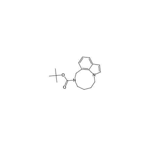 CC(C)(C)OC(=O)N1CCCCn2ccc3cccc(c32)C1